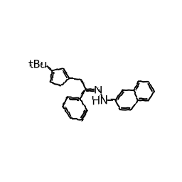 CC(C)(C)C1=CCC(CC(=NNc2ccc3ccccc3c2)c2ccccc2)=C1